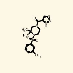 Cc1cccc(S(=O)(=O)N2CCN(C(=O)c3cnn[nH]3)CC2(C)C)c1